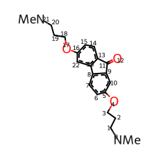 CNCCCOc1ccc2c(c1)C(=O)c1ccc(OCCCNC)cc1-2